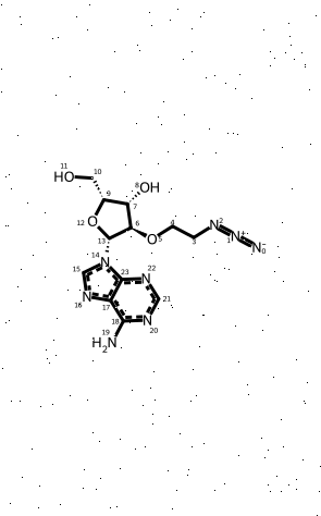 [N-]=[N+]=NCCO[C@@H]1[C@@H](O)[C@@H](CO)O[C@H]1n1cnc2c(N)ncnc21